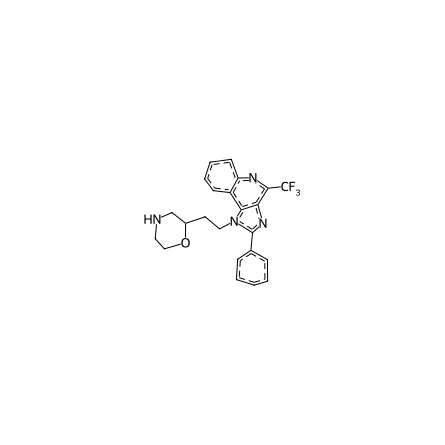 FC(F)(F)c1nc2ccccc2c2c1nc(-c1ccccc1)n2CCC1CNCCO1